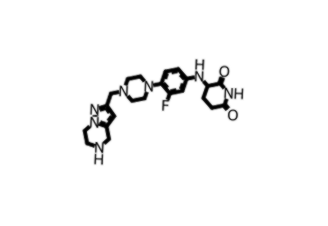 O=C1CCC(Nc2ccc(N3CCN(Cc4cc5n(n4)CCNC5)CC3)c(F)c2)C(=O)N1